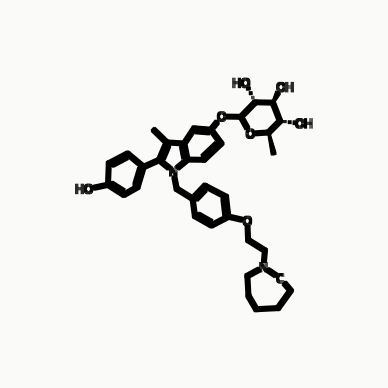 Cc1c(-c2ccc(O)cc2)n(Cc2ccc(OCCN3CCCCCC3)cc2)c2ccc(OC3O[C@H](C)[C@@H](O)[C@H](O)[C@H]3O)cc12